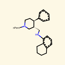 CCCCCN1CC[C@@H](c2ccccc2)[C@H](CNc2cccc3c2CCCC3)C1